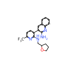 Nc1nc2[c]cccc2cc1-c1ccc(C(F)(F)F)nc1NCC1CCCO1